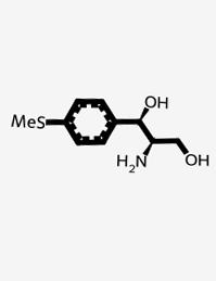 CSc1ccc([C@@H](O)[C@H](N)CO)cc1